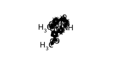 CCOC(=O)c1cccc(-c2ccc(Nc3ncc4scc(-c5cccc(NS(C)(=O)=O)c5)c4n3)cn2)c1